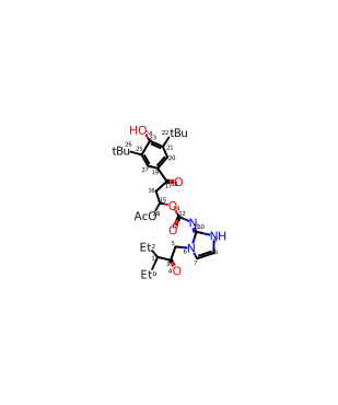 CCC(CC)C(=O)Cn1cc[nH]c1=NC(=O)OC(CC(=O)c1cc(C(C)(C)C)c(O)c(C(C)(C)C)c1)OC(C)=O